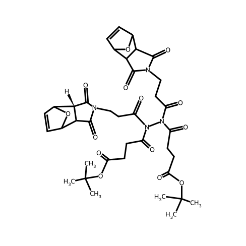 CC(C)(C)OC(=O)CCC(=O)N(C(=O)CCN1C(=O)C2C3C=CC(O3)C2C1=O)N(C(=O)CCC(=O)OC(C)(C)C)C(=O)CCN1C(=O)C2C3C=CC(O3)[C@@H]2C1=O